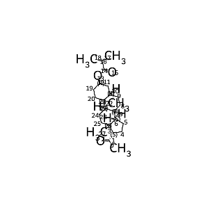 CC(=O)[C@H]1CC[C@H]2[C@@H]3CC[C@H]4C[C@H](OC(=O)C(C)C)CC[C@]4(C)[C@H]3CC[C@]12C